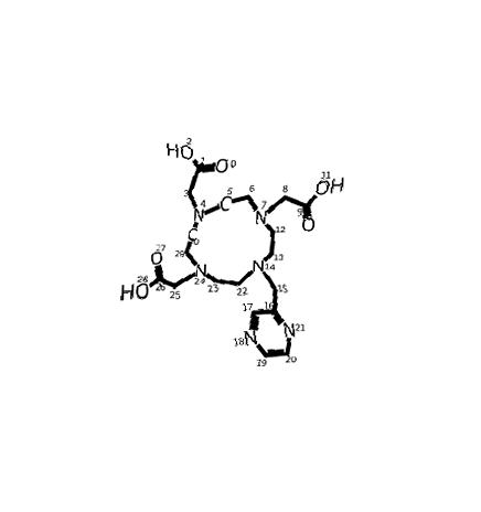 O=C(O)CN1CCN(CC(=O)O)CCN(Cc2cnccn2)CCN(CC(=O)O)CC1